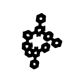 c1ccc(-c2ccc(-c3nc(-c4ccccc4)cc(-c4cccc(-c5ccc6ccc7c(-c8ccccc8)cc(-c8ccccc8)nc7c6n5)c4)n3)cc2)cc1